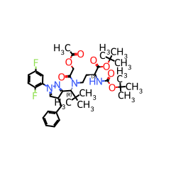 CC(=O)OCC(=O)N(CC[C@H](NC(=O)OC(C)(C)C)C(=O)OC(C)(C)C)[C@@H](C1=N[N+](c2cc(F)ccc2F)=CC1Cc1ccccc1)C(C)(C)C